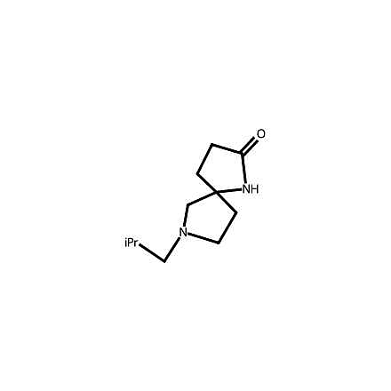 CC(C)CN1CCC2(CCC(=O)N2)C1